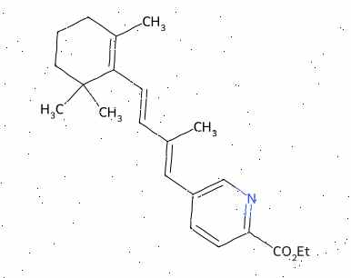 CCOC(=O)c1ccc(/C=C(\C)C=CC2=C(C)CCCC2(C)C)cn1